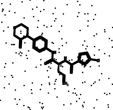 C=CC[C@@H](NC(=O)c1ccc(Cl)s1)C(=O)Nc1ccc(N2CCOCC2=O)cc1